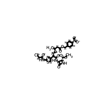 COC(=O)[C@@H]1NC(=O)[C@@H]1NC(=O)C(=NOC(C)CC(=O)OCc1ccc([N+](=O)[O-])cc1)c1csc(NC(=O)CCl)n1